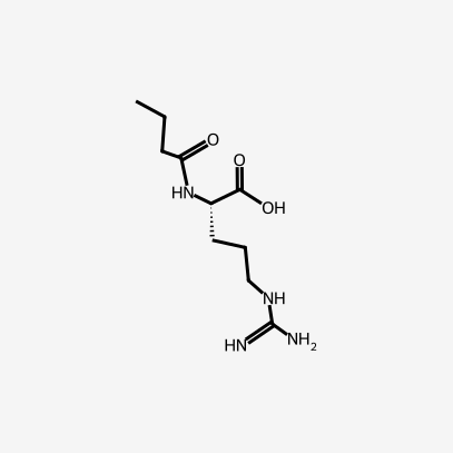 CCCC(=O)N[C@@H](CCCNC(=N)N)C(=O)O